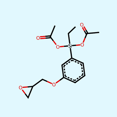 CC[Si](OC(C)=O)(OC(C)=O)c1cccc(OCC2CO2)c1